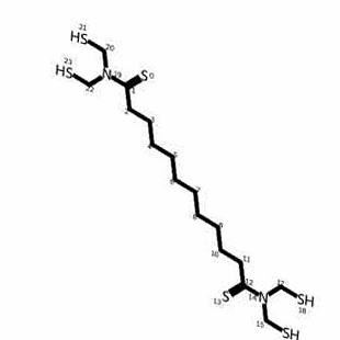 S=C(CCCCCCCCCCC(=S)N(CS)CS)N(CS)CS